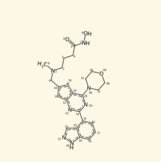 CN(CCCC(=O)NO)Cc1cc2nc(-c3cccc4[nH]ncc34)nc(N3CCOCC3)c2s1